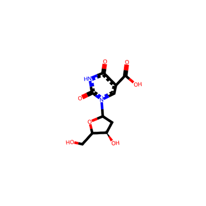 O=C(O)c1cn(C2C[C@@H](O)C(CO)O2)c(=O)[nH]c1=O